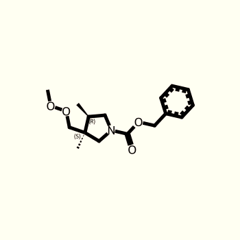 COOC[C@]1(C)CN(C(=O)OCc2ccccc2)C[C@@H]1C